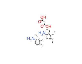 CCc1ccc(N)c(CC)c1CC.CCc1ccc(N)c(CC)c1CC.O=C(O)CC(=O)O